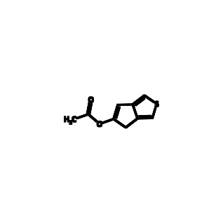 CC(=O)OC1=Cc2cscc2C1